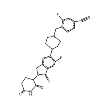 N#Cc1ccc(CN2CCN(c3cc4c(cc3F)C(=O)N(C3CCC(=O)NC3=O)C4)CC2)c(F)c1